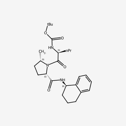 CCC[C@H](NC(=O)OC(C)(C)C)C(=O)N1[C@@H](C)CC[C@H]1C(=O)N[C@@H]1CCCc2ccccc21